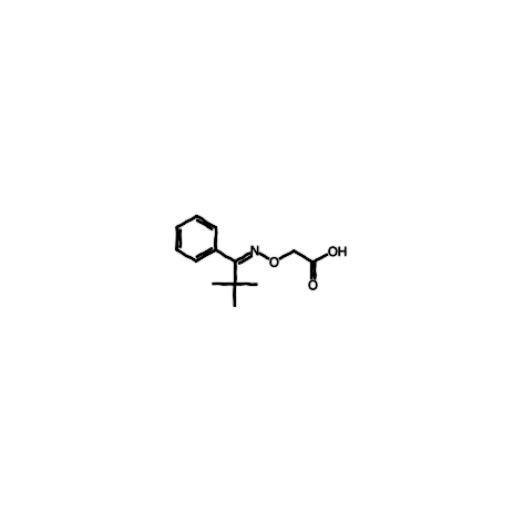 CC(C)(C)C(=NOCC(=O)O)c1ccccc1